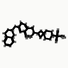 CC(Oc1coc(CN2CCc3ccccc3C2)cc1=O)C1CC2(CCN(S(C)(=O)=O)CC2)C1